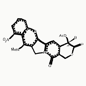 CC[C@@]1(OC(C)=O)C(=O)OCc2c1cc1n(c2=O)Cc2c-1nc1cccc([N+](=O)[O-])c1c2NC